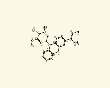 CCC(CCC1c2ccccc2Oc2cc(/C(N)=N/O)ccc21)N(CC)C(=O)OC(C)(C)C